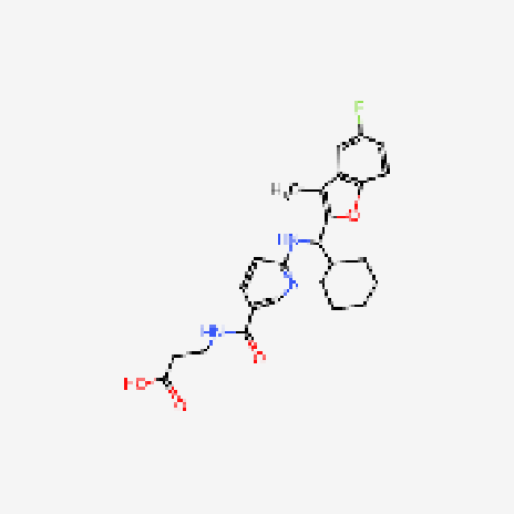 Cc1c(C(Nc2ccc(C(=O)NCCC(=O)O)cn2)C2CCCCC2)oc2ccc(F)cc12